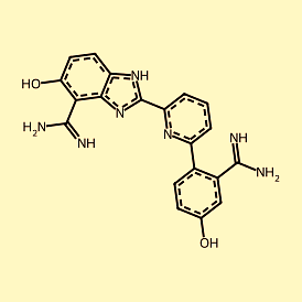 N=C(N)c1cc(O)ccc1-c1cccc(-c2nc3c(C(=N)N)c(O)ccc3[nH]2)n1